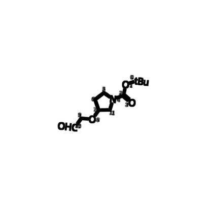 CC(C)(C)OC(=O)N1CCC(OCC=O)C1